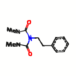 CNC(=O)N(CCc1ccccc1)C(=O)NC